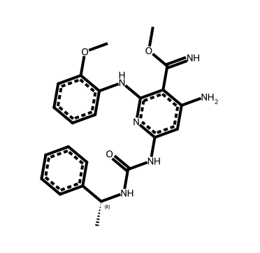 COC(=N)c1c(N)cc(NC(=O)N[C@H](C)c2ccccc2)nc1Nc1ccccc1OC